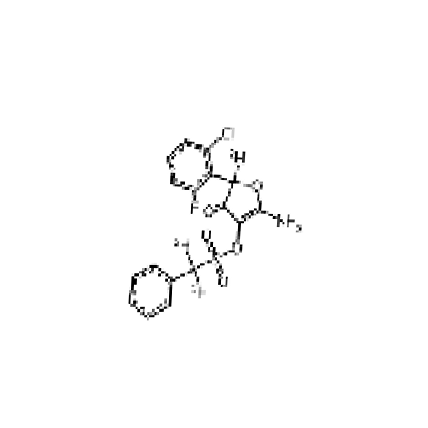 [2H]C1(c2c(F)cccc2Cl)OC(N)=C(OS(=O)(=O)C([2H])([2H])c2ccccc2)C1=O